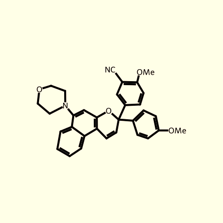 COc1ccc(C2(c3ccc(OC)c(C#N)c3)C=Cc3c(cc(N4CCOCC4)c4ccccc34)O2)cc1